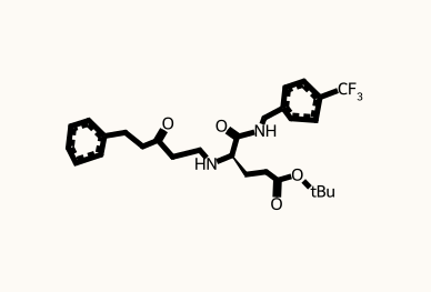 CC(C)(C)OC(=O)CC[C@@H](NCCC(=O)CCc1ccccc1)C(=O)NCc1ccc(C(F)(F)F)cc1